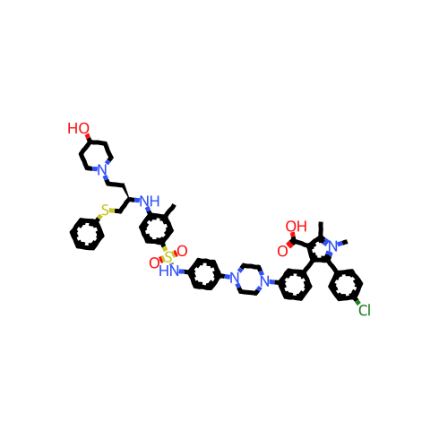 Cc1cc(S(=O)(=O)Nc2ccc(N3CCN(c4cccc(-c5c(C(=O)O)c(C)n(C)c5-c5ccc(Cl)cc5)c4)CC3)cc2)ccc1N[C@H](CCN1CCC(O)CC1)CSc1ccccc1